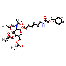 CC(=O)NC1[C@H](OCCCCCCNC(=O)OCc2ccccc2)OC(COC(C)=O)[C@H](OC(C)=O)[C@@H]1OC(C)=O